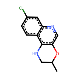 CC1CNc2c(cnc3cc(Cl)ccc23)O1